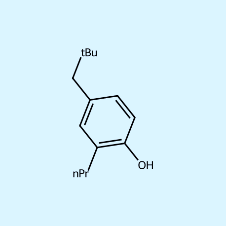 CCCc1cc(CC(C)(C)C)ccc1O